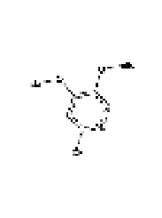 CCCCOc1cnc(C#N)cc1OCCCC